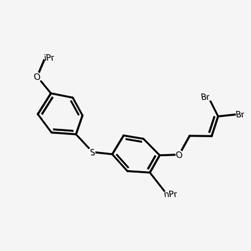 CCCc1cc(Sc2ccc(OC(C)C)cc2)ccc1OCC=C(Br)Br